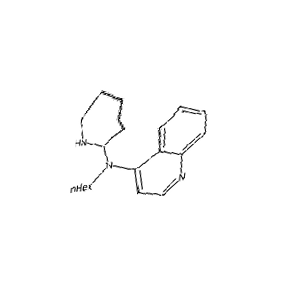 CCCCCCN(c1ccnc2ccccc12)C1CCCCN1